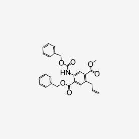 C=CCc1cc(C(=O)OCc2ccccc2)c(NC(=O)OCc2ccccc2)cc1C(=O)OC